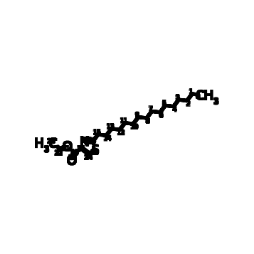 CCCCCCCCCCCCCCCCc1nc(C(=O)OCC)cs1